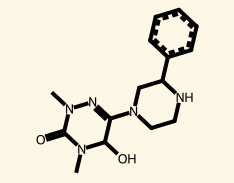 CN1N=C(N2CCNC(c3ccccc3)C2)C(O)N(C)C1=O